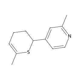 CC1=CCCC(c2ccnc(C)c2)S1